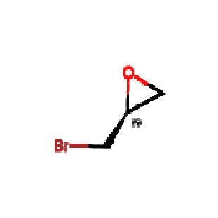 BrC[C@@H]1CO1